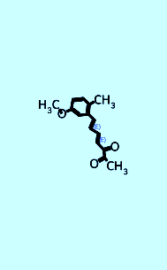 COc1ccc(C)c(/C=C/C=C/C(=O)C(C)=O)c1